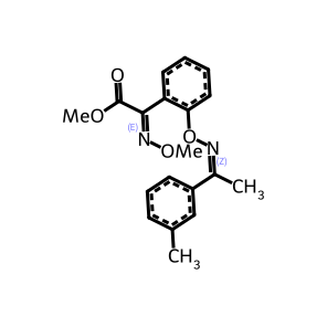 CO/N=C(/C(=O)OC)c1ccccc1O/N=C(/C)c1cccc(C)c1